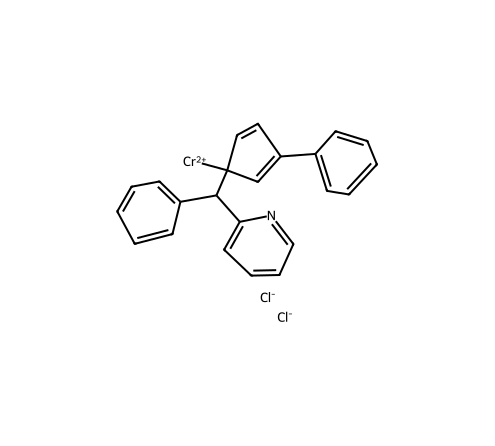 [Cl-].[Cl-].[Cr+2][C]1(C(c2ccccc2)c2ccccn2)C=CC(c2ccccc2)=C1